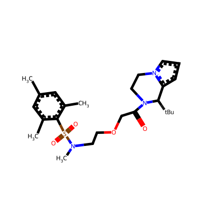 Cc1cc(C)c(S(=O)(=O)N(C)CCOCC(=O)N2CCn3cccc3C2C(C)(C)C)c(C)c1